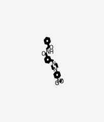 O=C(CNC(=O)c1cccc(CN2CCN(c3ccc([N+](=O)[O-])cc3)CC2)c1)c1ccccc1